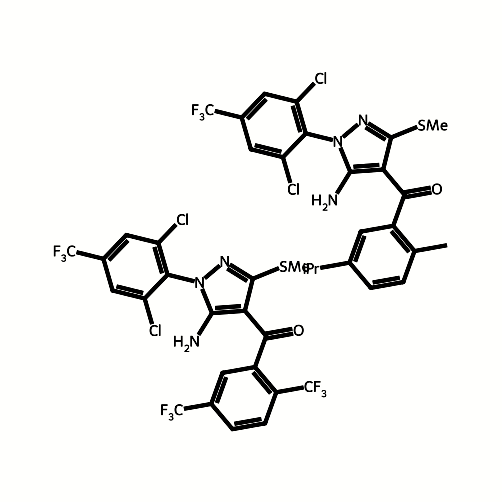 CSc1nn(-c2c(Cl)cc(C(F)(F)F)cc2Cl)c(N)c1C(=O)c1cc(C(C)C)ccc1C.CSc1nn(-c2c(Cl)cc(C(F)(F)F)cc2Cl)c(N)c1C(=O)c1cc(C(F)(F)F)ccc1C(F)(F)F